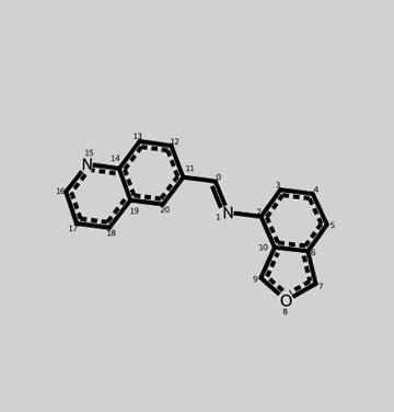 C(=Nc1cccc2cocc12)c1ccc2ncccc2c1